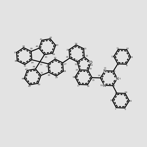 c1ccc(-c2nc(-c3ccccc3)nc(-c3cccc4c3oc3cccc(-c5ccc6c(c5)C5(c7ccccc7-c7ccccc75)c5ccccc5-6)c34)n2)cc1